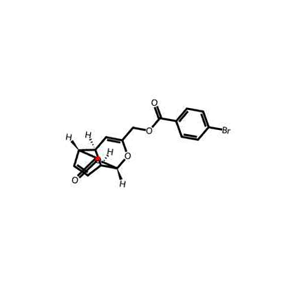 O=C(OCC1=C[C@H]2[C@@H]3C=C[C@H]2C(=O)O[C@@H]3O1)c1ccc(Br)cc1